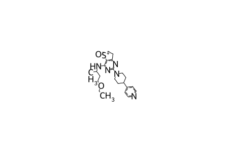 CCOCCC(C)Nc1nc(N2CCC(c3ccncc3)CC2)nc2c1[S+]([O-])CC2